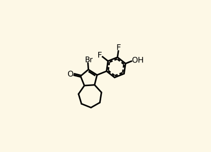 O=C1C(Br)=C(c2ccc(O)c(F)c2F)C2CCCCCC12